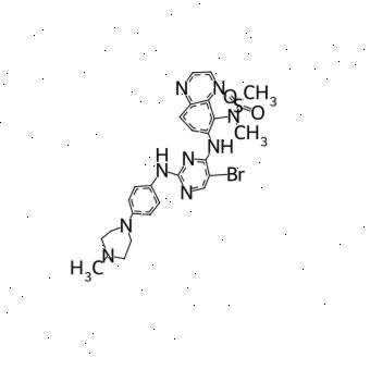 CN1CCN(c2ccc(Nc3ncc(Br)c(Nc4ccc5nccnc5c4N(C)S(C)(=O)=O)n3)cc2)CC1